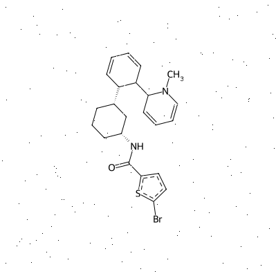 CN1C=CC=CC1C1C=CC=CC1[C@H]1CCC[C@@H](NC(=O)c2ccc(Br)s2)C1